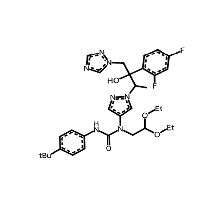 CCOC(CN(C(=O)Nc1ccc(C(C)(C)C)cc1)c1cnn(C(C)C(O)(Cn2cncn2)c2ccc(F)cc2F)c1)OCC